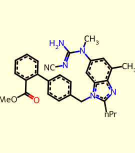 CCCc1nc2c(C)cc(N(C)C(N)=NC#N)cc2n1Cc1ccc(-c2ccccc2C(=O)OC)cc1